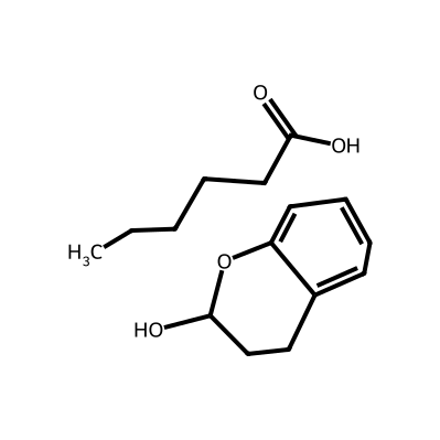 CCCCCC(=O)O.OC1CCc2ccccc2O1